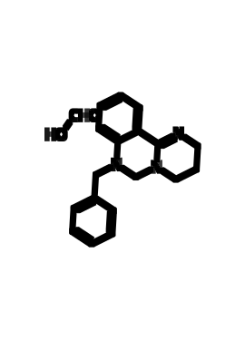 O=CO.c1ccc(CN2CN3CCCN=C3c3ccccc32)cc1